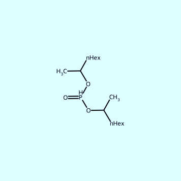 CCCCCCC(C)O[PH](=O)OC(C)CCCCCC